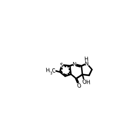 Cc1cc2c(s1)N=C1NCCC1(O)C2=O